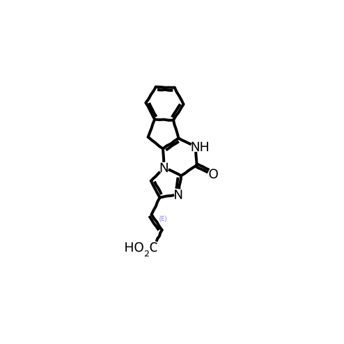 O=C(O)/C=C/c1cn2c3c([nH]c(=O)c2n1)-c1ccccc1C3